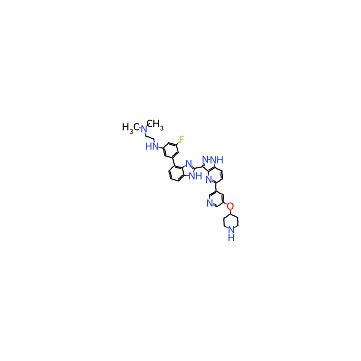 CN(C)CCNc1cc(F)cc(-c2cccc3[nH]c(-c4n[nH]c5ccc(-c6cncc(OC7CCNCC7)c6)nc45)nc23)c1